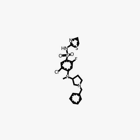 CN(c1cc(F)c(S(=O)(=O)Nc2nccs2)cc1Cl)C1CCN(Cc2ccccc2)C1